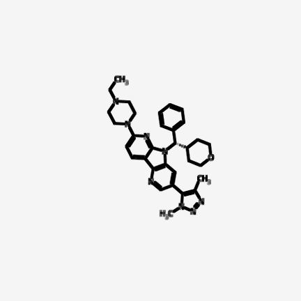 CCN1CCN(c2ccc3c4ncc(-c5c(C)nnn5C)cc4n([C@H](c4ccccc4)C4CCOCC4)c3n2)CC1